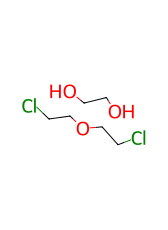 ClCCOCCCl.OCCO